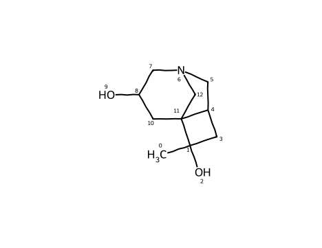 CC1(O)CC2CN3CC(O)CC21C3